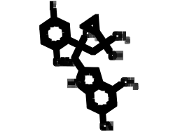 COc1ccc(F)cc1C(C)(Cc1cc2c(C)cc(C#N)cc2[nH]1)CC(C)(O)C1CC1